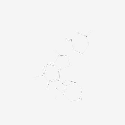 O=C1CCC(N2Cc3c(cc(F)c(F)c3N3[C@@H]4CC[C@H]3CNC4)C2=O)C(=O)N1